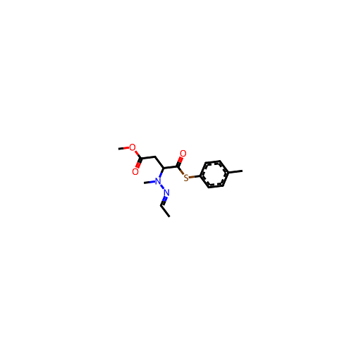 CC=NN(C)C(CC(=O)OC)C(=O)Sc1ccc(C)cc1